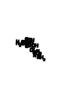 CCOP(=O)(O)NP(=O)(OCC)OC[C@H]1O[C@@H](n2cnc3c(N)ncnc32)C[C@@H]1O